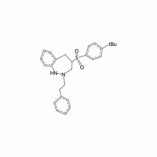 CC(C)(C)c1ccc(S(=O)(=O)C2Cc3ccccc3NN(CCc3ccccc3)C2)cc1